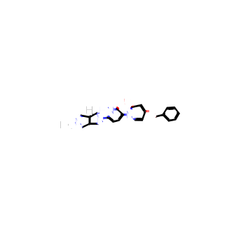 CN1C[C@@H]2CN(c3ccc(-n4ccc(OCc5ccccc5)cc4=O)c(=O)[nH]3)C[C@@H]2C1